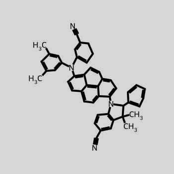 Cc1cc(C)cc(N(C2=CCCC(C#N)=C2)c2ccc3ccc4c(N5c6ccc(C#N)cc6C(C)(C)C5c5ccccc5)ccc5ccc2c3c54)c1